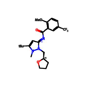 COc1ccc(C(F)(F)F)cc1C(=O)/N=c1\cc(C(C)(C)C)n(C)n1C[C@H]1CCCO1